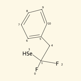 FC(F)([SeH])Cc1ccccc1